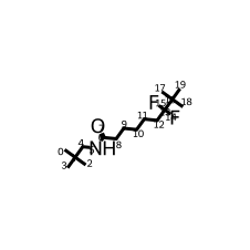 CC(C)(C)CNC(=O)CCCCCC(F)(F)C(C)(C)C